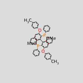 COc1ccc(Oc2ccc(C)cc2)c(P(c2ccccc2)c2ccccc2)c1-c1c(OC)ccc(Oc2ccc(C)cc2)c1P(c1ccccc1)c1ccccc1